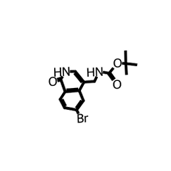 CC(C)(C)OC(=O)NCc1c[nH]c(=O)c2ccc(Br)cc12